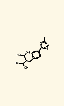 Cc1nc(-c2ccc(CC(C(O)O)C(O)O)cc2)no1